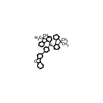 CC1(C)c2ccccc2-c2c(N(c3ccc(-c4ccc5oc6ccccc6c5c4)cc3)c3cccc4c3-c3ccccc3C4(C)C)cccc21